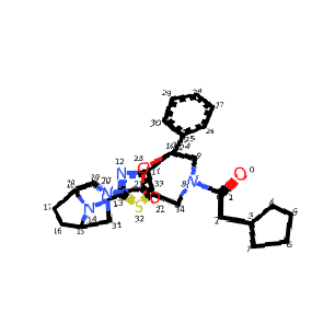 O=C(CC1CCCC1)N1CCc2nc(N3C4CCC3CN(C(=O)OCc3ccccc3)C4)sc2C1